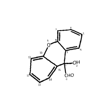 O=CC1(O)c2ccccc2Oc2ccccc21